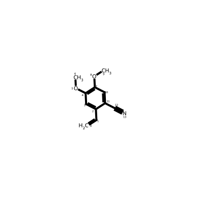 C=Cc1cc(OC)c(OC)cc1C#N